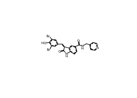 O=C1Nc2ccc(C(=O)NCc3ccncc3)cc2C1=Cc1cc(Br)c(O)c(Br)c1